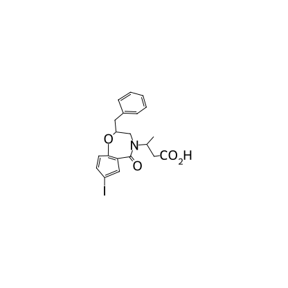 CC(CC(=O)O)N1CC(Cc2ccccc2)Oc2ccc(I)cc2C1=O